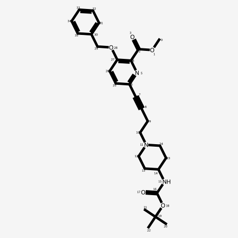 COC(=O)c1nc(C#CCCN2CCC(NC(=O)OC(C)(C)C)CC2)ccc1OCc1ccccc1